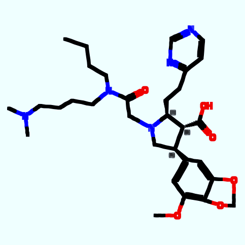 CCCCN(CCCCN(C)C)C(=O)CN1C[C@H](c2cc(OC)c3c(c2)OCO3)[C@@H](C(=O)O)[C@@H]1CCc1ccncn1